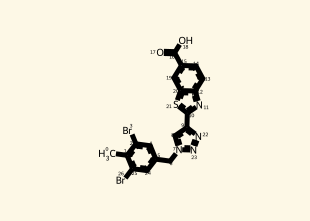 Cc1c(Br)cc(Cn2cc(-c3nc4ccc(C(=O)O)cc4s3)nn2)cc1Br